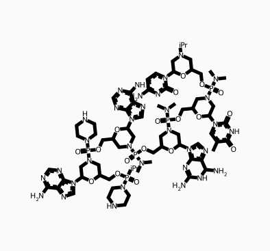 Cc1cn(C2CN(P(=O)(OCC3CN(C(C)C)CC(n4ccc(N)nc4=O)O3)N(C)C)CC(COP(=O)(N(C)C)N3CC(COP(=O)(N(C)C)N4CC(COP(=O)(N5CCNCC5)N5CC(COP(=O)(C(C)C)N6CCNCC6)OC(n6cnc7c(N)ncnc76)C5)OC(n5cnc6c(N)ncnc65)C4)OC(n4cnc5c4N=C(N)NC5N)C3)O2)c(=O)[nH]c1=O